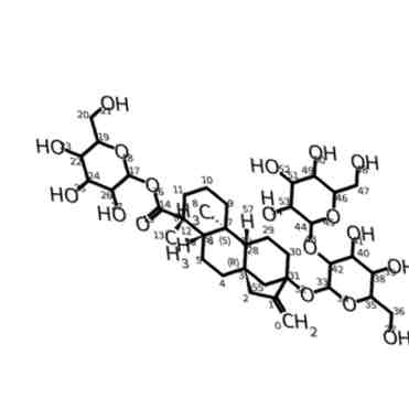 C=C1C[C@@]23CC[C@H]4[C@@](C)(CCC[C@@]4(C)C(=O)OC4OC(CO)C(O)C(O)C4O)[C@@H]2CCC1(OC1OC(CO)C(O)C(O)C1OC1OC(CO)C(O)C(O)C1O)C3